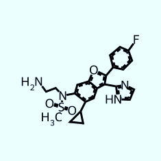 CS(=O)(=O)N(CCN)c1cc2oc(-c3ccc(F)cc3)c(-c3ncc[nH]3)c2cc1C1CC1